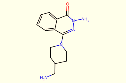 NCC1CCN(c2nn(N)c(=O)c3ccccc23)CC1